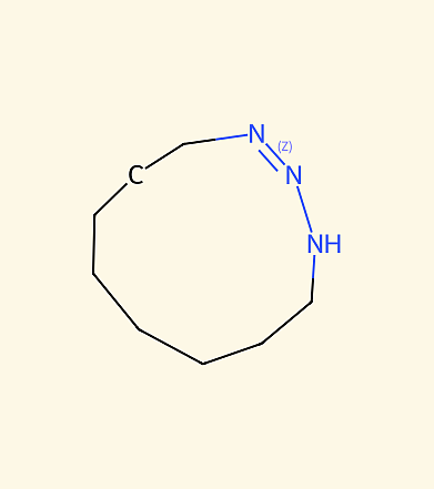 C1CCCCN/N=N\CCC1